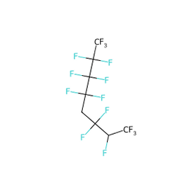 FC(C(F)(F)F)C(F)(F)CC(F)(F)C(F)(F)C(F)(F)C(F)(F)F